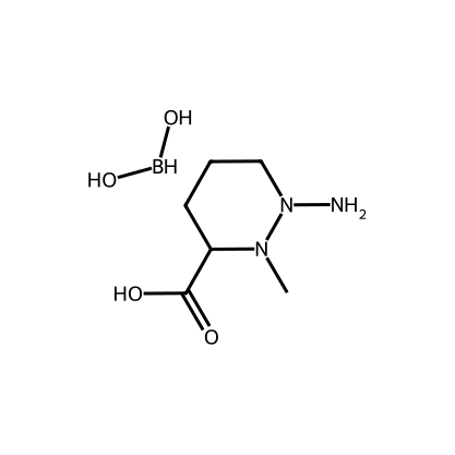 CN1C(C(=O)O)CCCN1N.OBO